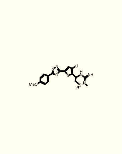 COc1ccc(-c2nnc(-c3cc(Cl)c(C4C[S+]([O-])N(C)C(=N)N4)s3)o2)cc1